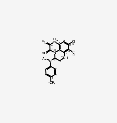 CC(=O)N(c1ccc(C(F)(F)F)cc1)C1CNc2c(Cl)c(Cl)cc3[nH]c(=O)c(=O)n1c23